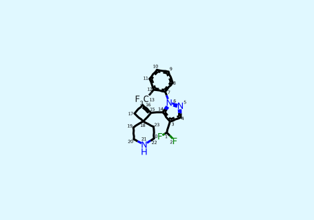 FC(F)c1cnn(-c2ccccc2C(F)(F)F)c1C1=CCC12CCNCC2